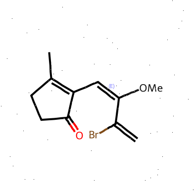 C=C(Br)/C(=C\C1=C(C)CCC1=O)OC